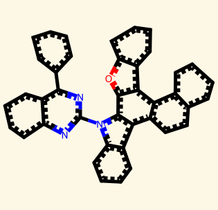 c1ccc(-c2nc(-n3c4ccccc4c4c5ccc6ccccc6c5c5c6ccccc6oc5c43)nc3ccccc23)cc1